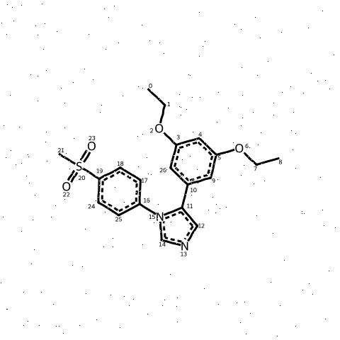 CCOc1cc(OCC)cc(-c2cncn2-c2ccc(S(C)(=O)=O)cc2)c1